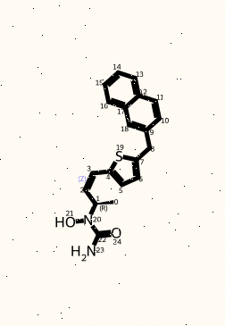 C[C@H](/C=C\c1ccc(Cc2ccc3ccccc3c2)s1)N(O)C(N)=O